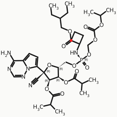 CCC(CC)COC(=O)C1(N[P@](=O)(OCOC(=O)OC(C)C)OC[C@H]2O[C@@](C#N)(c3ccc4c(N)ncnn34)[C@H](OC(=O)C(C)C)[C@@H]2OC(=O)C(C)C)CCC1